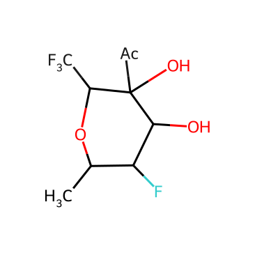 CC(=O)C1(O)C(O)C(F)C(C)OC1C(F)(F)F